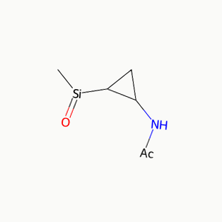 CC(=O)NC1CC1[Si](C)=O